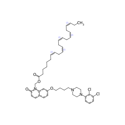 CC/C=C\C/C=C\C/C=C\C/C=C\C/C=C\CCCCCC(=O)OCn1c(=O)ccc2ccc(OCCCCN3CCN(c4cccc(Cl)c4Cl)CC3)cc21